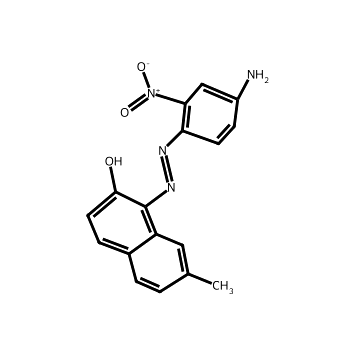 Cc1ccc2ccc(O)c(N=Nc3ccc(N)cc3[N+](=O)[O-])c2c1